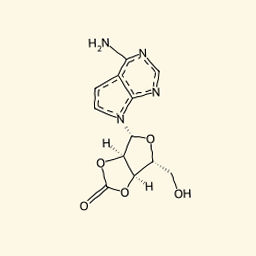 Nc1ncnc2c1ccn2[C@@H]1O[C@H](CO)[C@H]2OC(=O)O[C@H]21